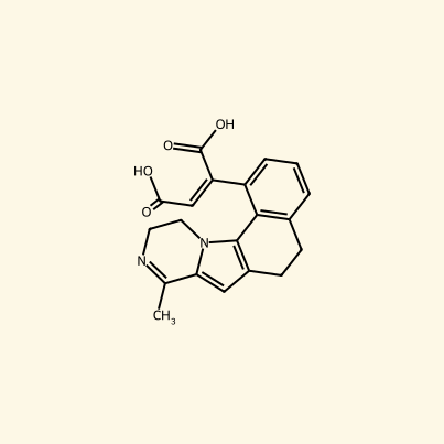 CC1=NCCn2c1cc1c2-c2c(cccc2C(=CC(=O)O)C(=O)O)CC1